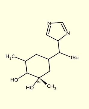 CC1CC(C(C2C=NC=N2)C(C)(C)C)C[C@](C)(O)C1O